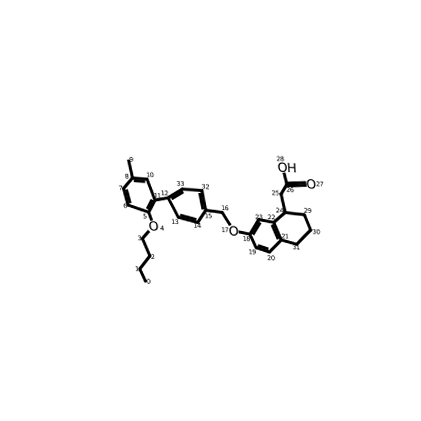 CCCCOc1ccc(C)cc1-c1ccc(COc2ccc3c(c2)C(CC(=O)O)CCC3)cc1